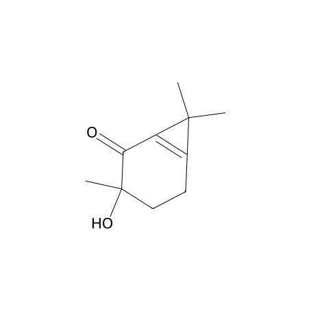 CC1(O)CCC2=C(C1=O)C2(C)C